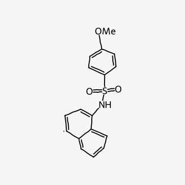 COc1ccc(S(=O)(=O)Nc2cc[c]c3ccccc23)cc1